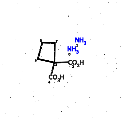 N.N.O=C(O)C1(C(=O)O)CCC1